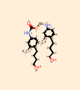 CC(C)(C)OC(=O)Nc1ccc(CCCCO)c(C(F)(F)F)c1.Nc1ccc(CCCCO)c(C(F)(F)F)c1